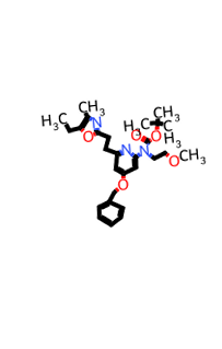 CCc1oc(CCc2cc(OCc3ccccc3)cc(N(CCOC)C(=O)OC(C)(C)C)n2)nc1C